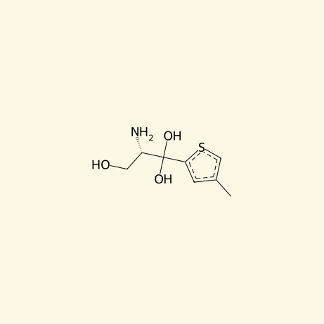 Cc1csc(C(O)(O)[C@@H](N)CO)c1